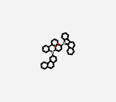 c1ccc(-c2ccccc2N(c2ccc(-n3c4ccccc4c4ccc5ccccc5c43)cc2)c2ccc3ccc4ccccc4c3c2)cc1